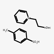 CCCCCCCCCCCC[n+]1ccccc1.Cc1ccc(S(=O)(=O)O)cc1